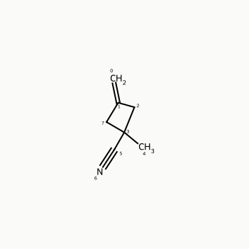 C=C1CC(C)(C#N)C1